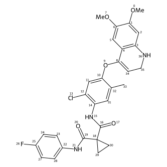 COc1cc2c(cc1OC)C(Oc1cc(Cl)c(NC(=O)C3(C(=O)Nc4ccc(F)cc4)CC3)cc1C)=CCN2